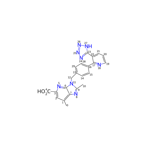 Cc1cc(C(=O)O)nc2c1nc(C)n2Cc1ccc(-c2ncccc2-c2nnn[nH]2)cc1